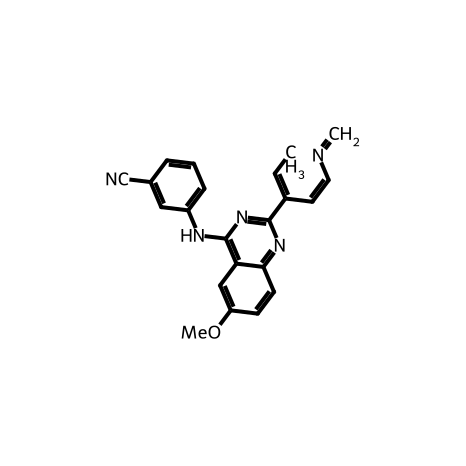 C=N/C=C\C(=C/C)c1nc(Nc2cccc(C#N)c2)c2cc(OC)ccc2n1